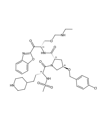 CCNCOC[C@H](NC(=O)[C@@H]1C[C@@H](OCc2ccc(Cl)cc2)CN1C(=O)[C@@H](CCC1CCNCC1)NS(C)(=O)=O)C(=O)c1nc2ccccc2o1